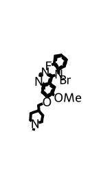 COc1cc2c(N(Br)c3ccccc3F)ncnc2cc1OCC1CCN(C)CC1